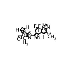 COc1cc(-c2[nH]nc(-c3nc(C)c(N4C[C@@H]5C[C@@H]4C5NC4COC4)s3)c2CC(F)(F)F)cn2ncnc12